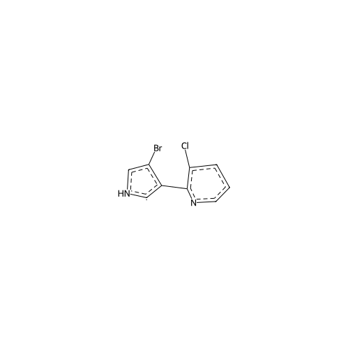 Clc1cccnc1-c1[c][nH]cc1Br